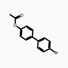 CC(=O)Oc1ccc(-c2ccc(Br)cc2)cc1